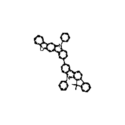 CC1(C)c2ccccc2-c2ccc3c4cc(-c5ccc6c(c5)c5cc7oc8ccccc8c7cc5n6-c5ccccc5)ccc4n(-c4ccccc4)c3c21